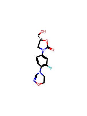 O=C1O[C@@H](CO)CN1c1ccc(N2C=NOCC2)c(F)c1